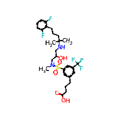 CN(CC(O)CNC(C)(C)CCCc1c(F)cccc1F)S(=O)(=O)c1cc(CCCC(=O)O)cc(C(F)(F)F)c1